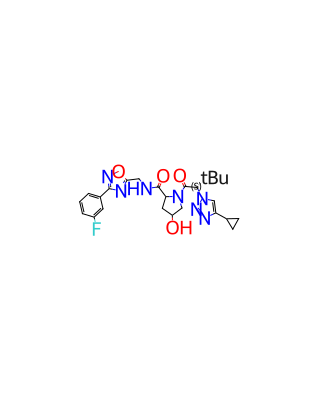 CC(C)(C)[C@@H](C(=O)N1CC(O)CC1C(=O)NCc1nc(-c2cccc(F)c2)no1)n1cc(C2CC2)nn1